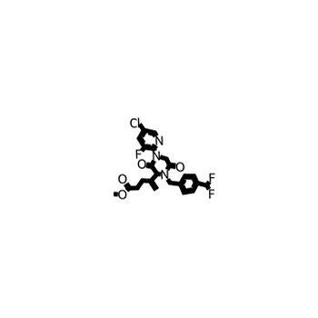 C=C(CCC(=O)OC)C1C(=O)N(c2ncc(Cl)cc2F)CC(=O)N1Cc1ccc(C(F)F)cc1